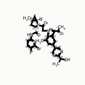 CC(=O)c1nn(CC(=O)N2[C@H](C(=O)Nc3ccc(F)c(Br)n3)C[C@@]3(C)C[C@@H]23)c2c(C)cc(-c3cnc(C(C)O)nc3)cc12